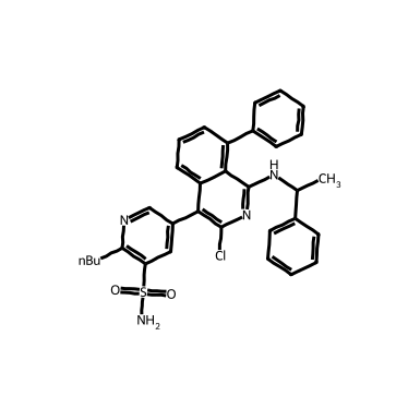 CCCCc1ncc(-c2c(Cl)nc(NC(C)c3ccccc3)c3c(-c4ccccc4)cccc23)cc1S(N)(=O)=O